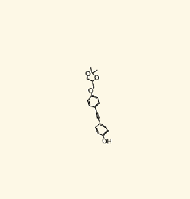 CC1(C)OC[C@H](COc2ccc(C#Cc3ccc(O)cc3)cc2)O1